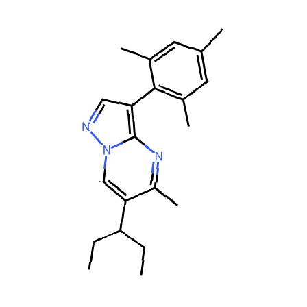 CCC(CC)c1[c]n2ncc(-c3c(C)cc(C)cc3C)c2nc1C